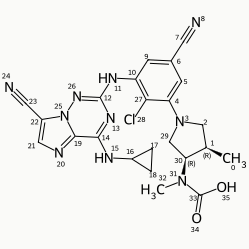 C[C@@H]1CN(c2cc(C#N)cc(Nc3nc(NC4CC4)c4ncc(C#N)n4n3)c2Cl)C[C@@H]1N(C)C(=O)O